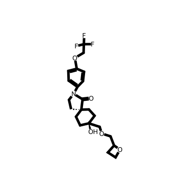 O=C1N(c2ccc(OCC(F)(F)F)cc2)CC[C@]12CC[C@@](O)(COCC1CCO1)CC2